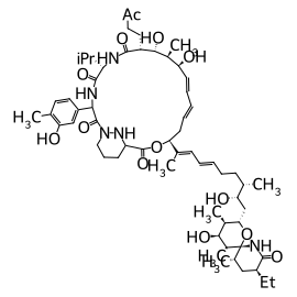 CC[C@H]1C[C@H](C)[C@@]2(NC1=O)O[C@@H](C[C@H](O)[C@@H](C)CC/C=C/C=C(\C)[C@@H]1C/C=C/C=C/[C@H](O)[C@H](C)[C@@H](O)[C@@H](CCC(C)=O)C(=O)N[C@@H](C(C)C)C(=O)NC(c3ccc(C)c(O)c3)C(=O)N3CCCC(N3)C(=O)O1)[C@H](C)[C@H](O)[C@@H]2C